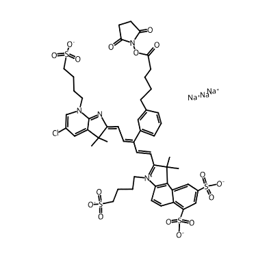 CC1(C)C2=CC(Cl)=CN(CCCCS(=O)(=O)[O-])C2=N/C1=C/C=C(/C=C/C1=[N+](CCCCS(=O)(=O)[O-])c2ccc3c(S(=O)(=O)[O-])cc(S(=O)(=O)[O-])cc3c2C1(C)C)c1cccc(CCCCC(=O)ON2C(=O)CCC2=O)c1.[Na+].[Na+].[Na+]